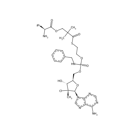 CC(C)[C@H](N)C(=O)OCC(C)(C)C(=O)SCCOP(=O)(NCc1ccccc1)OC[C@H]1O[C@@H](n2cnc3c(N)ncnc32)[C@](C)(Cl)[C@@H]1O